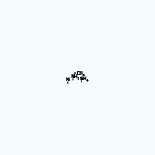 C.N.[Ni].[SiH4]